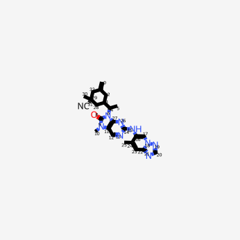 C=C1CC(C(C)n2c(=O)n(C)c3cnc(Nc4cn5ncnc5cc4C)nc32)CC(C)(C#N)C1